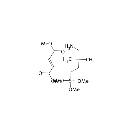 COC(=O)C=CC(=O)OC.CO[Si](CCC(C)(C)CN)(OC)OC